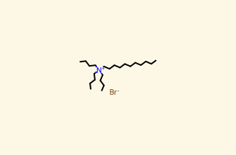 CCCCCCCCCCC[N+](CCCC)(CCCC)CCCC.[Br-]